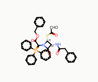 O=CC(=O)S[C@@H]1[C@H](NC(=O)Cc2ccccc2)C(=O)N1C(C(=O)OCc1ccccc1)=P(c1ccccc1)(c1ccccc1)c1ccccc1